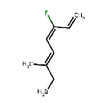 BC/C(C)=C/C=C(/F)C=C